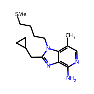 CSCCCCn1c(CC2CC2)nc2c(N)ncc(C)c21